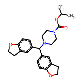 CC(OC(=O)N1CCN(C(c2ccc3c(c2)CCO3)c2ccc3c(c2)CCO3)CC1)C(F)(F)F